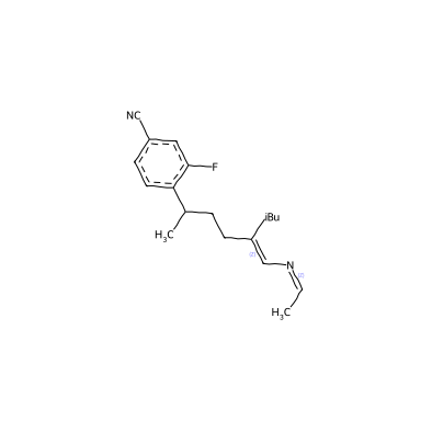 C/C=N\C=C(\CCC(C)c1ccc(C#N)cc1F)C(C)CC